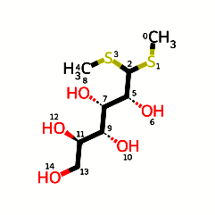 CSC(SC)[C@H](O)[C@@H](O)[C@H](O)[C@H](O)CO